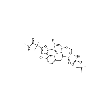 CNC(=O)C(C)(C)c1nnc(-c2cc3c(cc2F)SC[C@H](NC(=O)OC(C)(C)C)C(=O)N3Cc2ccc(Cl)cc2)o1